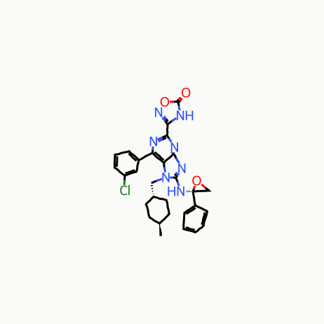 C[C@H]1CC[C@H](Cn2c(N[C@@]3(c4ccccc4)CO3)nc3nc(-c4noc(=O)[nH]4)nc(-c4cccc(Cl)c4)c32)CC1